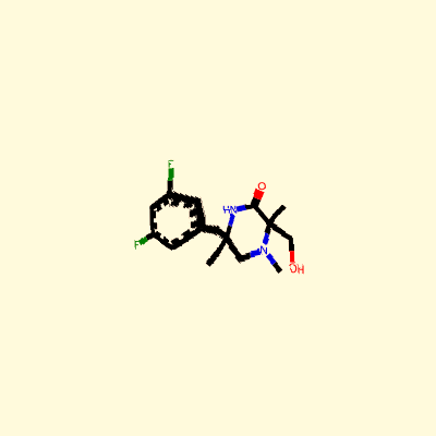 CN1CC(C)(c2cc(F)cc(F)c2)NC(=O)C1(C)CO